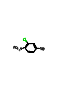 O=Nc1ccc(S(=O)(=O)O)c(Cl)c1